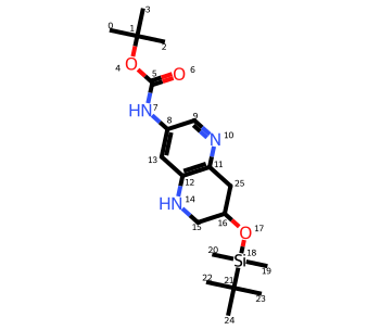 CC(C)(C)OC(=O)Nc1cnc2c(c1)NCC(O[Si](C)(C)C(C)(C)C)C2